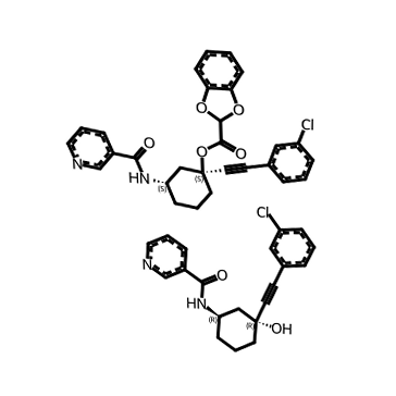 O=C(N[C@@H]1CCC[C@](O)(C#Cc2cccc(Cl)c2)C1)c1cccnc1.O=C(N[C@H]1CCC[C@](C#Cc2cccc(Cl)c2)(OC(=O)C2Oc3ccccc3O2)C1)c1cccnc1